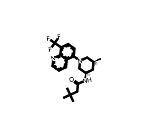 C[C@H]1C[C@@H](NC(=O)CC(C)(C)C)CN(c2ccc(C(F)(F)F)c3ncccc23)C1